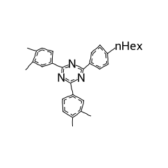 CCCCCCc1ccc(-c2nc(-c3ccc(C)c(C)c3)nc(-c3ccc(C)c(C)c3)n2)cc1